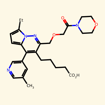 CCc1ccc2c(-c3cncc(C)c3)c(CCCCC(=O)O)c(COCC(=O)N3CCOCC3)nn12